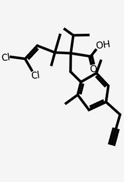 C#CCc1cc(C)c(CC(C(=O)O)(C(C)C)C(C)(C)C=C(Cl)Cl)c(C)c1